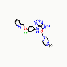 CCN1CCN(CCOc2n[nH]c3ncnc(Nc4ccc(OCc5ccccn5)c(Cl)c4)c23)CC1